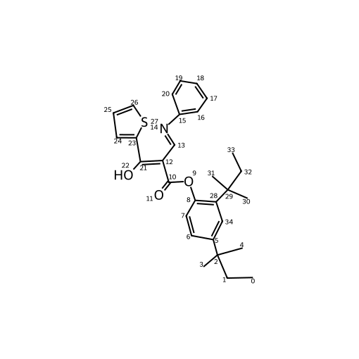 CCC(C)(C)c1ccc(OC(=O)/C(C=Nc2ccccc2)=C(\O)c2cccs2)c(C(C)(C)CC)c1